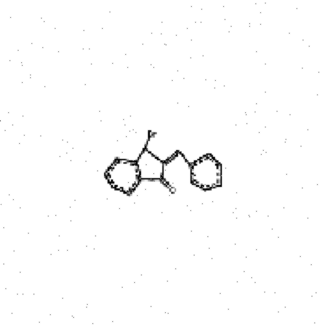 O=C1/C(=C\c2ccccc2)C(Br)c2ccccc21